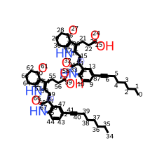 CCCCCCC#Cc1ccc2c(c1)/C(=C/c1[nH]c3c(c1CCC(=O)O)C(=O)CCC3)C(=O)N2.CCCCCCC#Cc1ccc2c(c1)/C(=C/c1[nH]c3c(c1CCC(=O)O)C(=O)CCC3)C(=O)N2